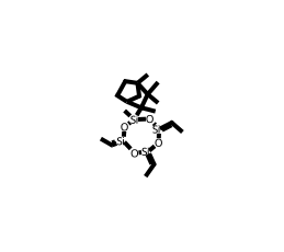 CC=[Si]1O[Si](=CC)O[Si](C)(C2(C)C3CCC(C)(C3)C2(C)C)O[Si](=CC)O1